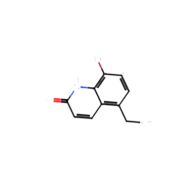 CCc1ccc(Br)c2[nH]c(=O)ccc12